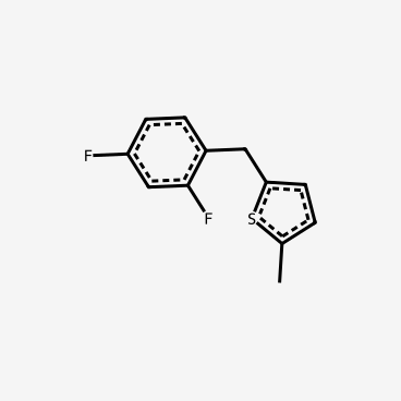 Cc1ccc(Cc2ccc(F)cc2F)s1